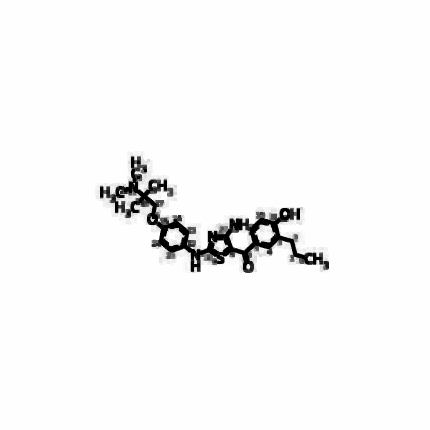 CCCc1cc(C(=O)c2sc(Nc3ccc(OCC(C)(C)N(C)C)cc3)nc2N)ccc1O